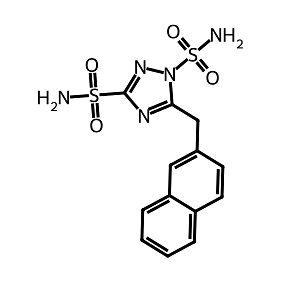 NS(=O)(=O)c1nc(Cc2ccc3ccccc3c2)n(S(N)(=O)=O)n1